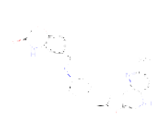 COc1ccc2c(n1)C1=CC(C[C@H]3CC[C@H](NCc4ccc5c(c4)NC(=O)CO5)CC3)OC1=CN2